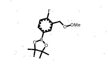 COOCc1cc(B2OC(C)(C)C(C)(C)O2)ccc1F